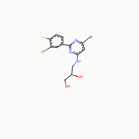 CCc1cc(NC[C@@H](O)CO)nc(-c2ccc(F)c(Cl)c2)n1